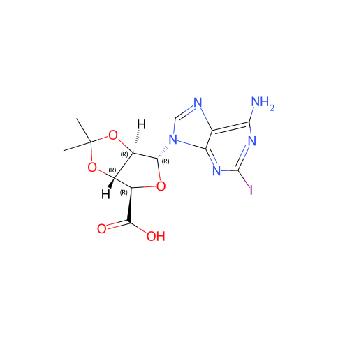 CC1(C)O[C@@H]2[C@@H](O1)[C@H](C(=O)O)O[C@H]2n1cnc2c(N)nc(I)nc21